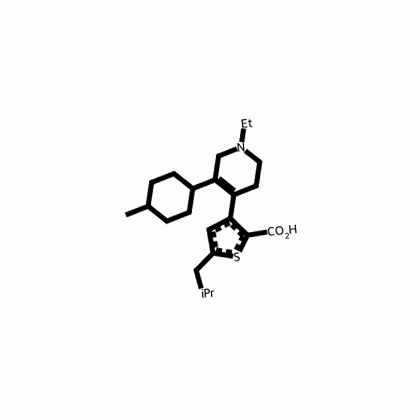 CCN1CCC(c2cc(CC(C)C)sc2C(=O)O)=C(C2CCC(C)CC2)C1